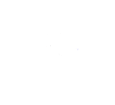 CCO[Si](CCCN)(OCC)OCC.CCO[Si](CCCS)(OCC)OCC